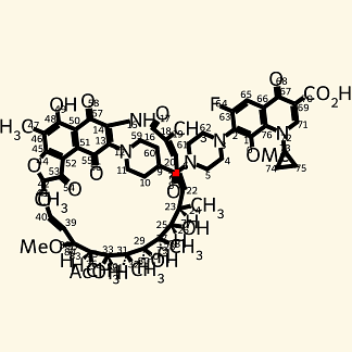 COc1c(N2CCN(C(=O)C3CCN(C4=C5NC(=O)/C(C)=C\C=C\[C@H](C)[C@H](O)[C@@H](C)[C@@H](O)[C@@H](C)[C@H](OC(C)=O)[C@H](C)[C@@H](OC)/C=C/O[C@@]6(C)Oc7c(C)c(O)c(c(c7C6=O)C4=O)C5=O)CC3)CC2)c(F)cc2c(=O)c(C(=O)O)cn(C3CC3)c12